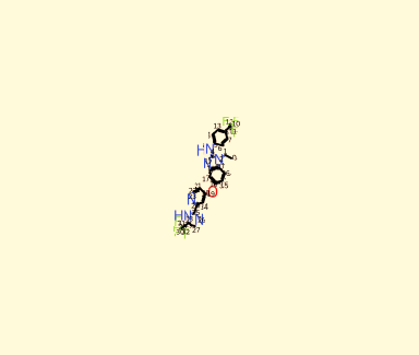 CCn1c(Nc2ccc(C(F)(F)F)cc2)nc2cc(Oc3ccnc(C4=NCC(C(F)(F)F)N4)c3)ccc21